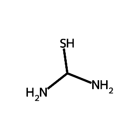 NC(N)S